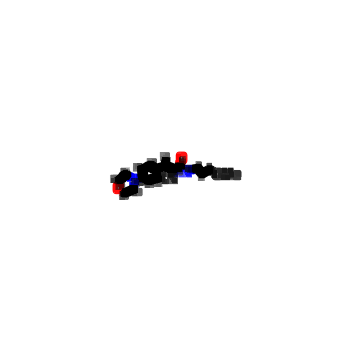 COCCCNC(=O)/C(C#N)=C(\C)c1ccc(N2CCOCC2)cc1